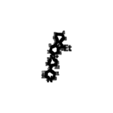 CCC1c2ccccc2-c2ccc(-[n+]3ccc(-c4ccncc4)cc3)cc21